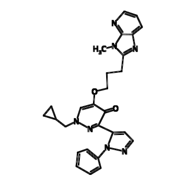 Cn1c(CCCOc2cn(CC3CC3)nc(-c3ccnn3-c3ccccc3)c2=O)nc2cccnc21